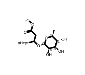 CCCCCCCC(CC(=O)OC(C)C)O[C@@H]1O[C@@H](C)[C@H](O)[C@@H](O)[C@H]1O